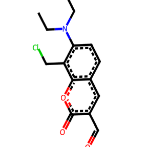 CCN(CC)c1ccc2cc(C=O)c(=O)oc2c1CCl